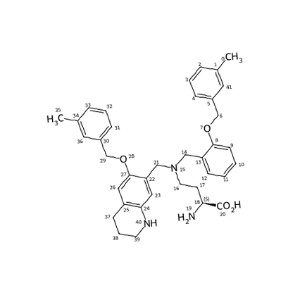 Cc1cccc(COc2ccccc2CN(CC[C@H](N)C(=O)O)Cc2cc3c(cc2OCc2cccc(C)c2)CCCN3)c1